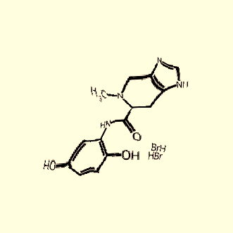 Br.Br.CN1Cc2nc[nH]c2C[C@H]1C(=O)Nc1cc(O)ccc1O